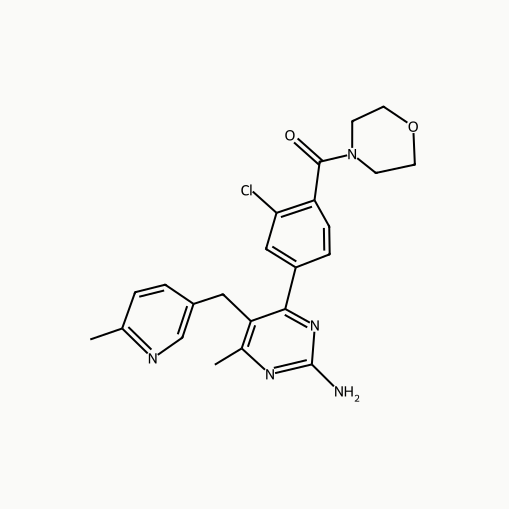 Cc1ccc(Cc2c(C)nc(N)nc2-c2ccc(C(=O)N3CCOCC3)c(Cl)c2)cn1